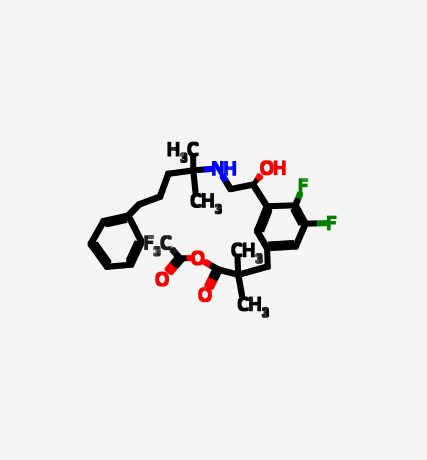 CC(C)(CCCc1ccccc1)NC[C@@H](O)c1cc(CC(C)(C)C(=O)OC(=O)C(F)(F)F)cc(F)c1F